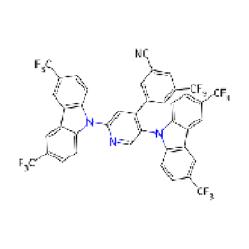 N#Cc1cc(-c2cc(-n3c4ccc(C(F)(F)F)cc4c4cc(C(F)(F)F)ccc43)ncc2-n2c3ccc(C(F)(F)F)cc3c3cc(C(F)(F)F)ccc32)cc(C(F)(F)F)c1